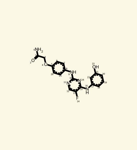 NC(=O)COc1ccc(Nc2ncc(F)c(Nc3cccc(O)c3)n2)cc1